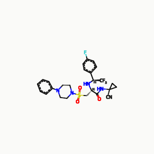 N#CC1(NC(=O)[C@H](CS(=O)(=O)N2CCN(c3ccccc3)CC2)N[C@@H](c2ccc(F)cc2)C(F)(F)F)CC1